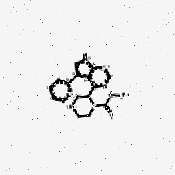 CC(C)(C)OC(=O)N1CCNCC1c1ncnc2[nH]cc(-c3ccccn3)c12